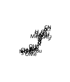 COc1cc(-c2scnc2C)ccc1CNC(=O)C1C[C@@H](O)CN1C(=O)[C@@H](NC(=O)COCCN1CCN(c2ccc(C(C)(N[C@@H](C)C(C)(C)[C@H](C)Oc3ccc(C#N)c(Cl)c3)OC)cn2)CC1)C(C)(C)C